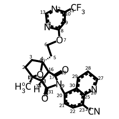 C[C@@]12CC[C@](CCOc3cc(C(F)(F)F)ncn3)(O1)C1C(=O)N(c3ccc(C#N)c4ncccc34)C(=O)[C@@H]12